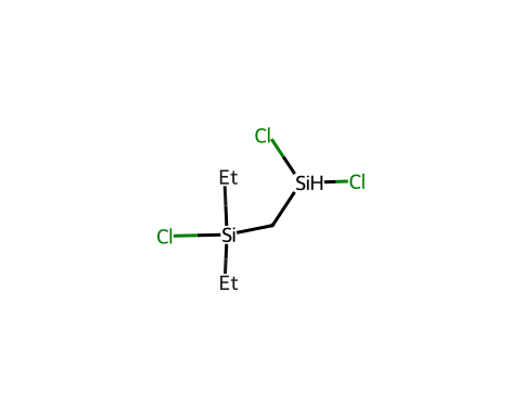 CC[Si](Cl)(CC)C[SiH](Cl)Cl